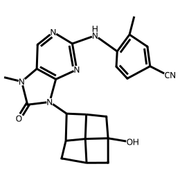 Cc1cc(C#N)ccc1Nc1ncc2c(n1)n(C1C3CC4CC5(O)CC1C435)c(=O)n2C